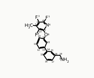 Cc1c(F)c(F)nc(Oc2cccc(-c3cccc(CN)c3)c2)c1F